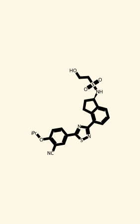 CC(C)Oc1ccc(-c2nc(-c3cccc4c3CC[C@H]4NS(=O)(=O)CCO)ns2)cc1C#N